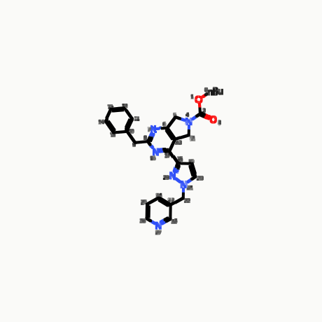 CCCCOC(=O)N1Cc2nc(Cc3ccccc3)nc(-c3ccn(Cc4cccnc4)n3)c2C1